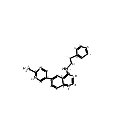 Nc1ncc(-c2ccc3ncnc(NCCc4ccccc4)c3c2)cn1